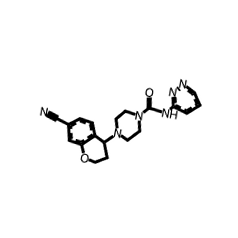 N#Cc1ccc2c(c1)OCCC2N1CCN(C(=O)Nc2cccnn2)CC1